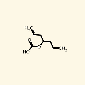 C=CCC(CC=C)OC(=O)O